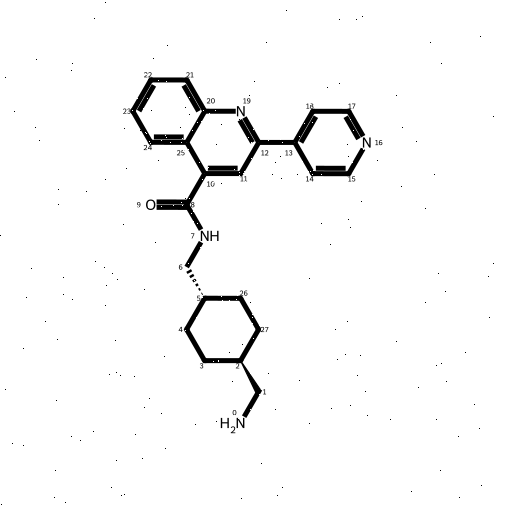 NC[C@H]1CC[C@H](CNC(=O)c2cc(-c3ccncc3)nc3ccccc23)CC1